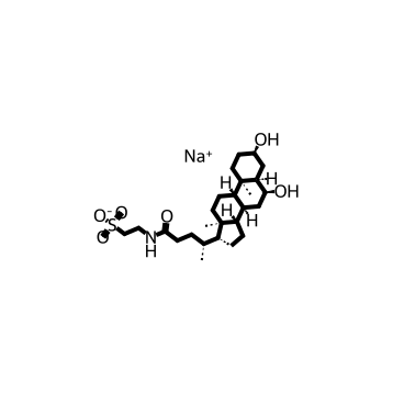 C[C@H](CCC(=O)NCCS(=O)(=O)[O-])[C@H]1CC[C@H]2[C@@H]3C[C@H](O)[C@@H]4C[C@H](O)CC[C@]4(C)[C@H]3CC[C@]12C.[Na+]